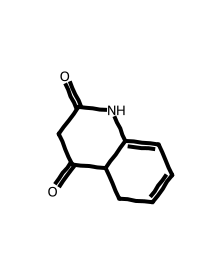 O=C1CC(=O)C2CC=CC=C2N1